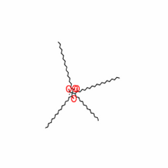 CCCCCCCCCCCCCCCCCC(=O)C(CCCCCCCCCCCCC)C([C]=O)(C(=O)CCCCCCCCCCCCCCC)C(=O)CCCCCCCCCCCCCCCCC